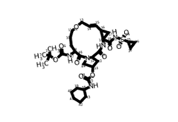 CC(C)(C)OC(=O)NC1CCCOC/C=C/C2CC2(C(=O)NS(=O)(=O)C2CC2)NC(=O)C2CC(OC(=O)NC3CCCCC3)CN2C1=O